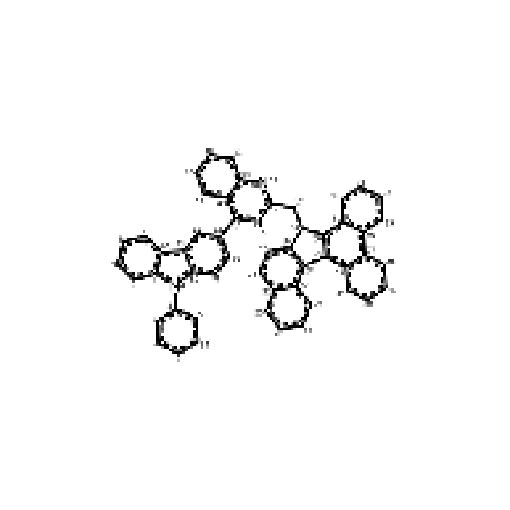 c1ccc(-n2c3ccccc3c3cc(-c4nc(CC5c6ccc7ccccc7c6-c6c5c5ccccc5c5ccccc65)nc5ccccc45)ccc32)cc1